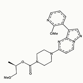 COC[C@@H](C)OC(=O)N1CCN(c2ccn3ncc(-c4cccnc4OC)c3n2)CC1